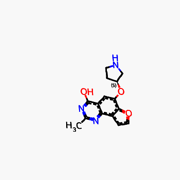 Cc1nc(O)c2cc(O[C@H]3CCNC3)c3occc3c2n1